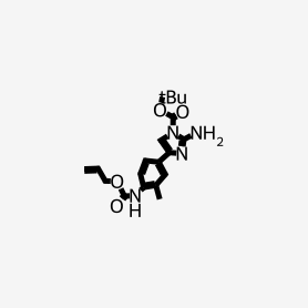 C=CCOC(=O)Nc1ccc(-c2cn(C(=O)OC(C)(C)C)c(N)n2)cc1C